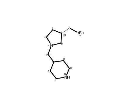 CC(C)(C)C[C@H]1CCN(CC2CCNCC2)C1